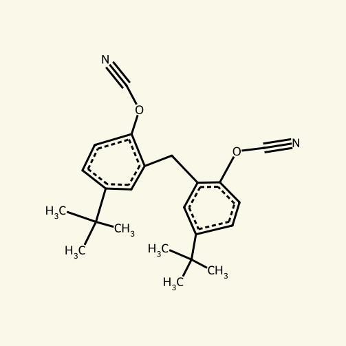 CC(C)(C)c1ccc(OC#N)c(Cc2cc(C(C)(C)C)ccc2OC#N)c1